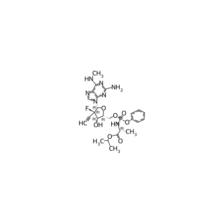 C#C[C@@]1(F)[C@H](O)[C@@H](CO[P@@](=O)(N[C@H](C)C(=O)OC(C)C)Oc2ccccc2)O[C@H]1n1cnc2c(NC)nc(N)nc21